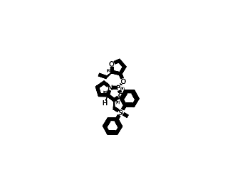 CC[C@H]1OCCC1O[P@@]1O[C@@H](C[Si](C)(c2ccccc2)c2ccccc2)[C@H]2CCCN21